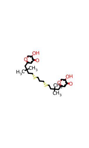 CC(C)(CCSCCCSCCC(C)(C)Cc1cc(=O)c(O)co1)Cc1cc(=O)c(O)co1